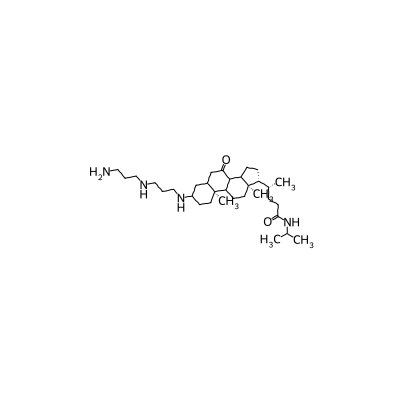 CC(C)NC(=O)CC[C@@H](C)[C@H]1CCC2C3C(=O)CC4CC(NCCCNCCCN)CC[C@]4(C)C3CC[C@@]21C